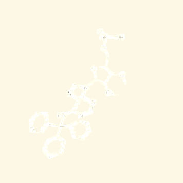 COC1[C@@H](CO[PH](=O)O)O[C@@H](n2cnc3c(NC(c4ccccc4)(c4ccccc4)c4ccccc4)ncnc32)[C@H]1OC